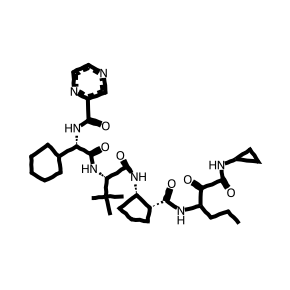 CCCC(NC(=O)[C@@H]1CCC[C@@H]1NC(=O)[C@@H](NC(=O)[C@@H](NC(=O)c1cnccn1)C1CCCCC1)C(C)(C)C)C(=O)C(=O)NC1CC1